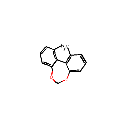 Cc1cccc2c1-c1c(C)cccc1OCO2